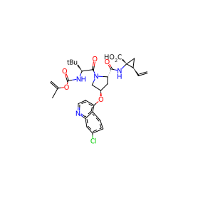 C=C[C@@H]1C[C@]1(NC(=O)[C@@H]1C[C@@H](Oc2ccnc3cc(Cl)ccc23)CN1C(=O)[C@@H](NC(=O)OC(=C)C)C(C)(C)C)C(=O)O